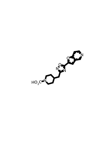 O=C(O)N1CCC(Cc2noc(-c3cc4cnccc4o3)n2)CC1